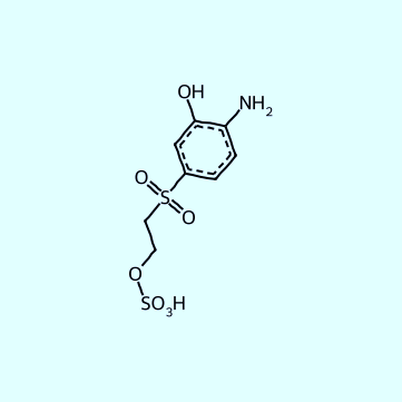 Nc1ccc(S(=O)(=O)CCOS(=O)(=O)O)cc1O